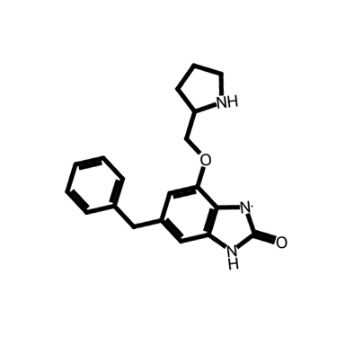 O=C1[N]c2c(cc(Cc3ccccc3)cc2OCC2CCCN2)N1